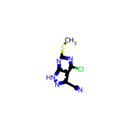 CSc1nc(Cl)c2c(C#N)n[nH]c2n1